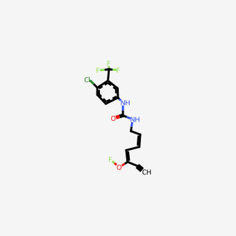 C#C/C(=C\C=C/CNC(=O)Nc1ccc(Cl)c(C(F)(F)F)c1)OF